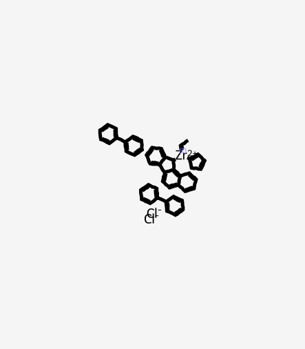 C/[CH]=[Zr+2](\[C]1=CC=CC1)[CH]1c2ccccc2-c2ccc3ccccc3c21.[Cl-].[Cl-].c1ccc(-c2ccccc2)cc1.c1ccc(-c2ccccc2)cc1